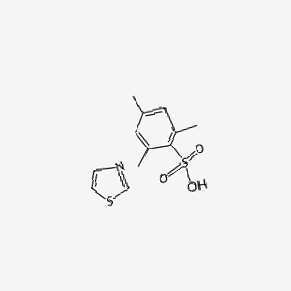 Cc1cc(C)c(S(=O)(=O)O)c(C)c1.c1cscn1